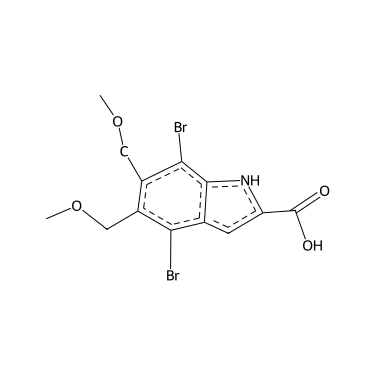 COCc1c(COC)c(Br)c2[nH]c(C(=O)O)cc2c1Br